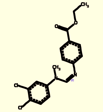 CCOC(=O)c1ccc(/N=C\N(C)c2ccc(Cl)c(Cl)c2)cc1